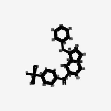 CS(=O)(=O)c1ccc(Nc2ncc3cnn(Cc4ccccc4)c3n2)cc1